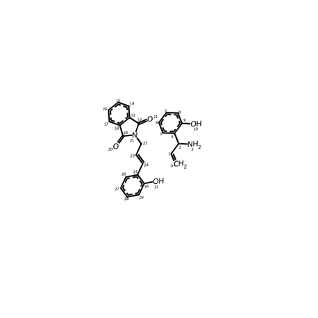 C=CC(N)c1ccccc1O.O=C1c2ccccc2C(=O)N1CC=Cc1ccccc1O